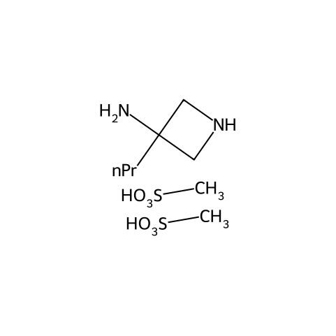 CCCC1(N)CNC1.CS(=O)(=O)O.CS(=O)(=O)O